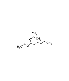 C[CH]OC(CCCCC)OC(C)C